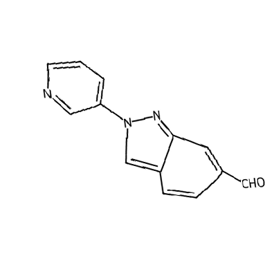 O=Cc1ccc2cn(-c3cccnc3)nc2c1